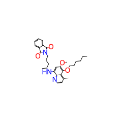 CCCCCCOc1c(OC)cc(NC(C)CCCN2C(=O)c3ccccc3C2=O)c2nccc(C)c12